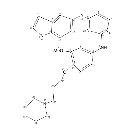 COc1cc(Nc2nccc(Nc3ccc4[nH]ccc4c3)n2)ccc1OCCCN1CCCCC1